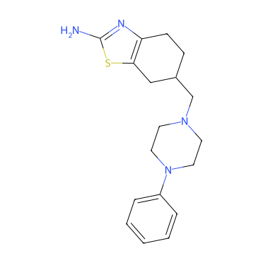 Nc1nc2c(s1)CC(CN1CCN(c3ccccc3)CC1)CC2